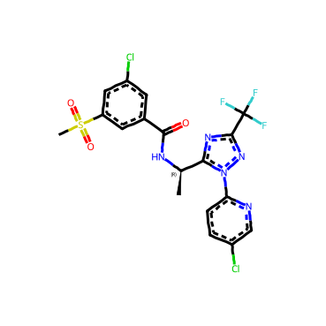 C[C@@H](NC(=O)c1cc(Cl)cc(S(C)(=O)=O)c1)c1nc(C(F)(F)F)nn1-c1ccc(Cl)cn1